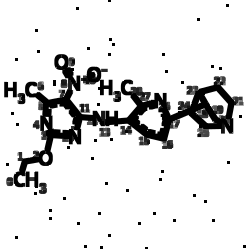 CCOc1nc(C)c([N+](=O)[O-])c(NCc2ccc(C3CN4CCC3CC4)nc2C)n1